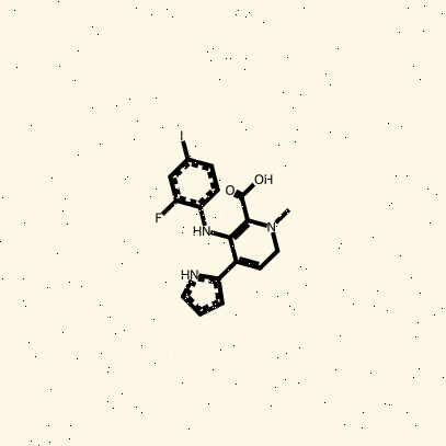 CN1CC=C(c2ccc[nH]2)C(Nc2ccc(I)cc2F)=C1C(=O)O